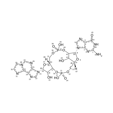 Nc1nc2c(ncn2[C@@H]2O[C@@H]3COP(=O)(O)OC4C(O)[C@H](n5cnc6c5ncn5ccnc65)O[C@@H]4COP(=O)(O)OC2C3O)c(=O)[nH]1